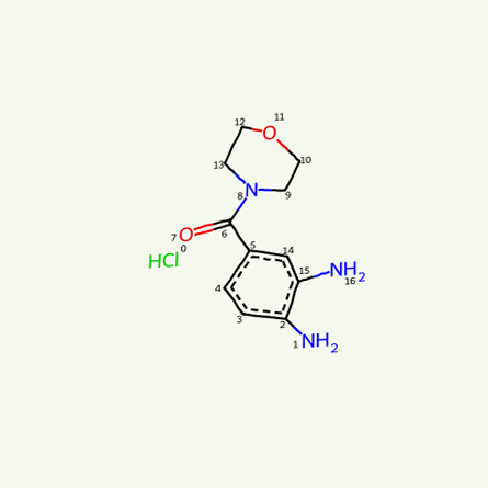 Cl.Nc1ccc(C(=O)N2CCOCC2)cc1N